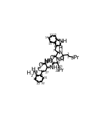 CC(C)CCC(=O)NC(Cc1c[nH]c2ccccc12)C(=O)NC(CC(C)C)C(O)NC(CC(C)c1ccccc1N)C(N)=O